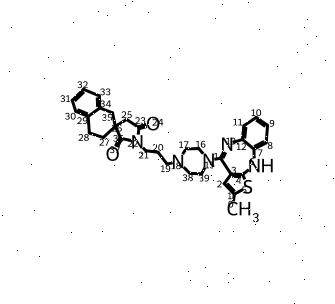 Cc1cc2c(s1)Nc1ccccc1N=C2N1CCN(CCCN2C(=O)CC3(CCc4ccccc4C3)C2=O)CC1